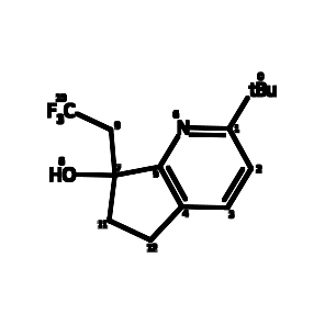 CC(C)(C)c1ccc2c(n1)C(O)(CC(F)(F)F)CC2